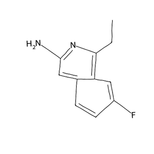 CCc1nc(N)cc2ccc(F)cc12